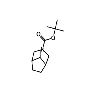 CC(C)(C)OC(=O)N1CC2CCC(C1)C2I